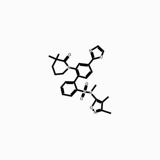 Cc1noc(N(C)S(=O)(=O)c2ccccc2-c2ccc(-c3ncco3)cc2N2CCCC(C)(C)C2=O)c1C